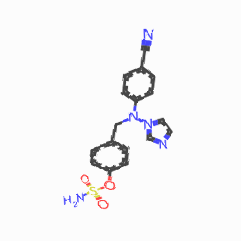 N#Cc1ccc(N(Cc2ccc(OS(N)(=O)=O)cc2)n2ccnc2)cc1